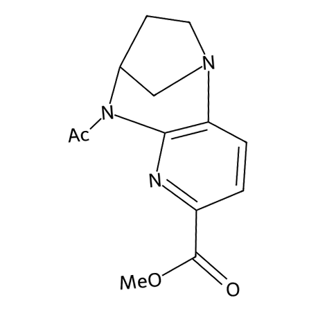 COC(=O)c1ccc2c(n1)N(C(C)=O)C1CCN2C1